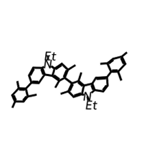 CCn1c2ccc(-c3c(C)cc(C)cc3C)cc2c2c(C)c(-c3c(C)cc4c(c3C)c3cc(-c5c(C)cc(C)cc5C)ccc3n4CC)c(C)cc21